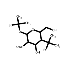 CCC(C)(C)OC1OC(CO)C(C(C)(C)CC)C(O)C1NC(C)=O